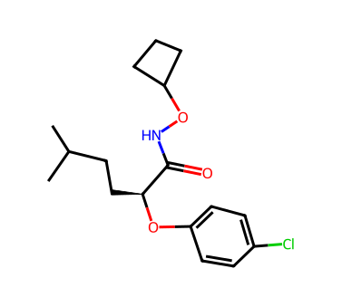 CC(C)CC[C@H](Oc1ccc(Cl)cc1)C(=O)NOC1CCC1